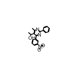 Cc1nc(-c2ccccc2)nc(-c2cccc([N+](=O)[O-])c2)c1C(C)O